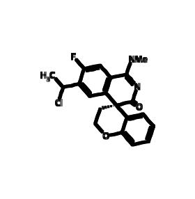 CNC1=NC(=O)[C@]2(CCOc3ccccc32)c2cc(C(C)Cl)c(F)cc21